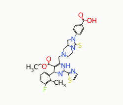 CCOC(=O)C1=C(CN2CCN3C(=S)N(c4ccc(C(=O)O)cc4)CC3C2)NC(c2nccs2)=NC1c1cccc(F)c1C